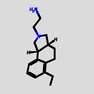 CCc1cccc2c1CC[C@H]1CN(CCN)C[C@@H]21